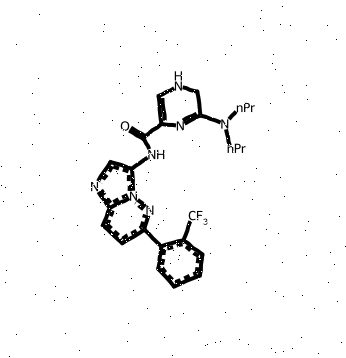 CCCN(CCC)C1=NC(C(=O)Nc2cnc3ccc(-c4ccccc4C(F)(F)F)nn23)=CNC1